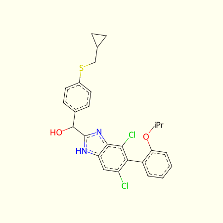 CC(C)Oc1ccccc1-c1c(Cl)cc2[nH]c(C(O)c3ccc(SCC4CC4)cc3)nc2c1Cl